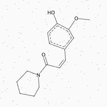 COc1cc(/C=C\C(=O)N2CCCCC2)ccc1O